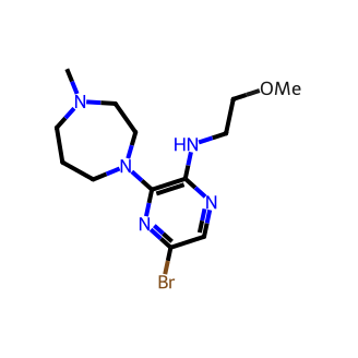 COCCNc1ncc(Br)nc1N1CCCN(C)CC1